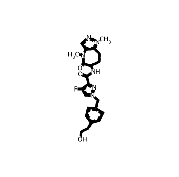 CN1C(=O)C(NC(=O)c2nn(Cc3ccc(CCO)cc3)cc2F)CCc2c1cnn2C